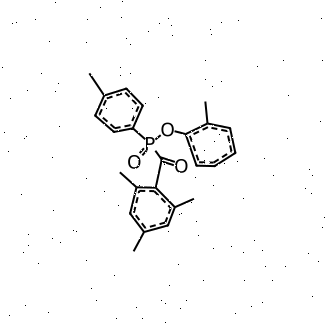 Cc1ccc(P(=O)(Oc2ccccc2C)C(=O)c2c(C)cc(C)cc2C)cc1